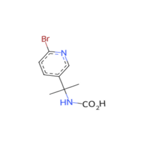 CC(C)(NC(=O)O)c1ccc(Br)nc1